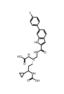 O=C(O)NC(CC[C@@H](CNC(=O)c1cc2ccc(-c3ccc(F)cc3)cc2[nH]1)NC(=O)O)C1CC1